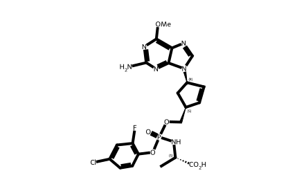 COc1nc(N)nc2c1ncn2[C@H]1C=C[C@@H](COP(=O)(N[C@@H](C)C(=O)O)Oc2ccc(Cl)cc2F)C1